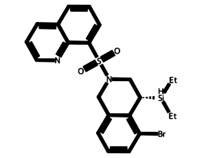 CC[SiH](CC)[C@H]1CN(S(=O)(=O)c2cccc3cccnc23)Cc2cccc(Br)c21